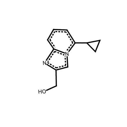 OCc1cn2c(C3CC3)cccc2n1